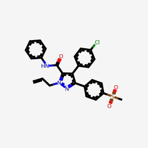 C=CCn1nc(-c2ccc(S(C)(=O)=O)cc2)c(-c2ccc(Cl)cc2)c1C(=O)Nc1ccccc1